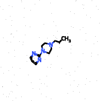 C[CH]CN1CCN(c2ncccn2)CC1